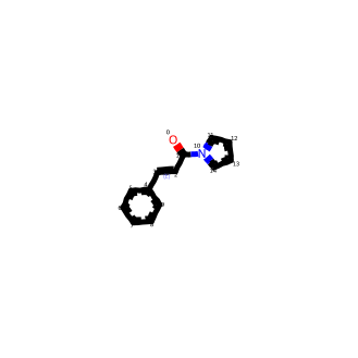 O=C(/C=C/c1ccccc1)n1cccc1